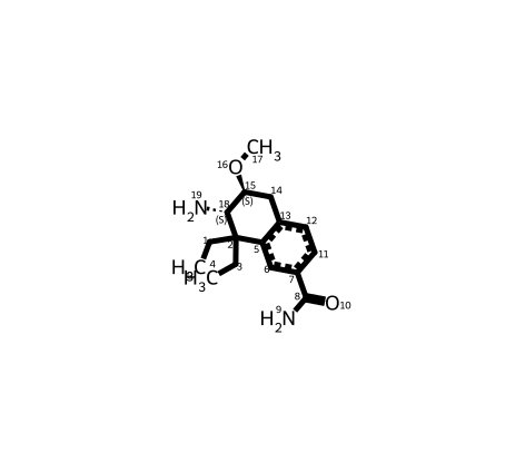 CCC1(CC)c2cc(C(N)=O)ccc2C[C@H](OC)[C@H]1N